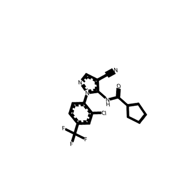 N#Cc1cnn(-c2ccc(C(F)(F)F)cc2Cl)c1NC(=O)C1CCCC1